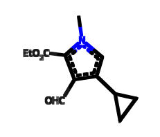 CCOC(=O)c1c(C=O)c(C2CC2)cn1C